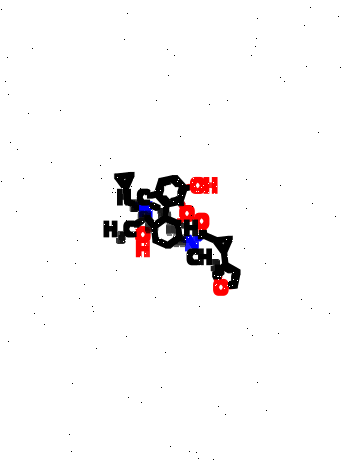 Cc1ccc(O)c2c1[C@]13CCN(CC4CC4)[C@H](C)[C@]1(O)CC[C@H](N(C)C(=O)C1CC1c1ccoc1)[C@@H]3O2